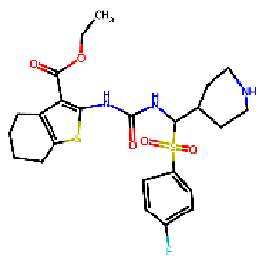 CCOC(=O)c1c(NC(=O)NC(C2CCNCC2)S(=O)(=O)c2ccc(F)cc2)sc2c1CCCC2